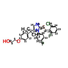 CC(C)(c1ccc(OCCO)cc1)c1cnc(SCc2c(F)cccc2Cl)n1-c1ccc(F)cc1